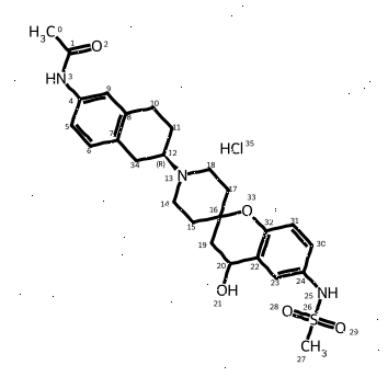 CC(=O)Nc1ccc2c(c1)CC[C@@H](N1CCC3(CC1)CC(O)c1cc(NS(C)(=O)=O)ccc1O3)C2.Cl